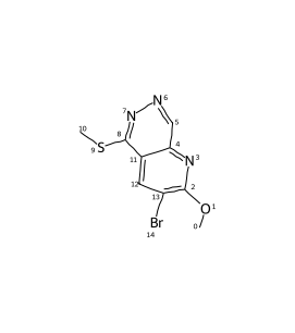 COc1nc2cnnc(SC)c2cc1Br